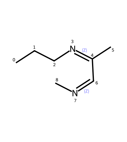 CCC/N=C(C)\C=N/C